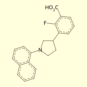 O=C(O)c1cccc(C2CCN(c3cccc4ccccc34)C2)c1F